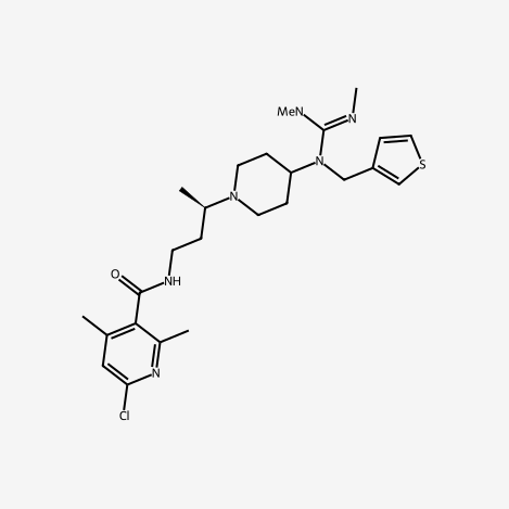 C/N=C(\NC)N(Cc1ccsc1)C1CCN([C@H](C)CCNC(=O)c2c(C)cc(Cl)nc2C)CC1